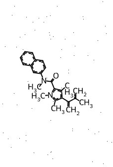 C=C(C)C(=C)c1c(C)c(C(=O)N(C)c2ccc3ccccc3c2)n(C)c1C